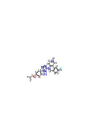 CC(C)COc1ccc(-c2nnc(N(Cc3ccc(F)cc3)C3CCN(C)CC3)[nH]2)cc1